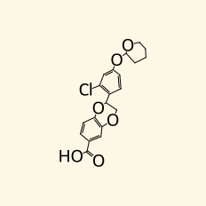 O=C(O)c1ccc2c(c1)OCC(c1ccc(OC3CCCCO3)cc1Cl)O2